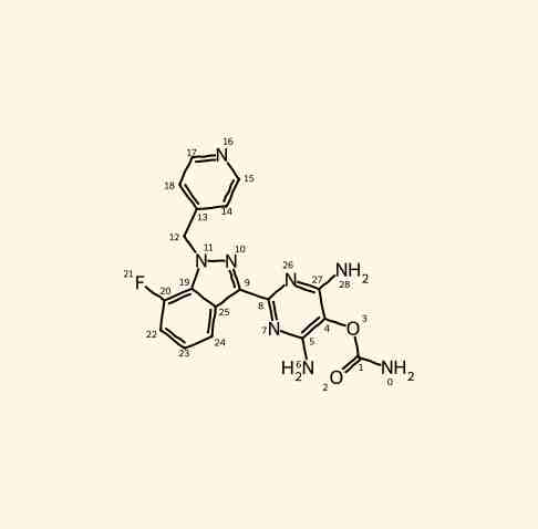 NC(=O)Oc1c(N)nc(-c2nn(Cc3ccncc3)c3c(F)cccc23)nc1N